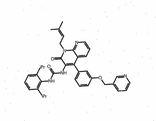 CC(C)=CCn1c(=O)c(NC(=O)Nc2c(C(C)C)cccc2C(C)C)c(-c2cccc(OCc3cccnc3)c2)c2cccnc21